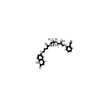 CC(C)(CNC(=O)CCCOc1ccc2[nH]c(=O)ccc2c1)NCC(O)COc1ccccc1C#N